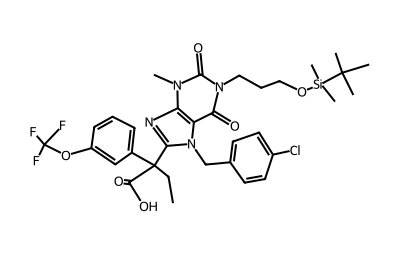 CCC(C(=O)O)(c1cccc(OC(F)(F)F)c1)c1nc2c(c(=O)n(CCCO[Si](C)(C)C(C)(C)C)c(=O)n2C)n1Cc1ccc(Cl)cc1